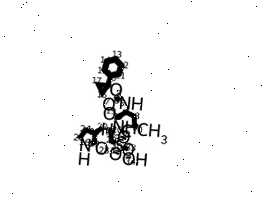 CC(C)CC(NC(=O)OC1(c2ccccc2)CC1)C(=O)N[C@@H](CC1CCNC1=O)CS(=O)(=O)OO